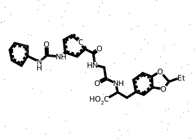 CCC1Oc2ccc(CC(NC(=O)CNC(=O)c3cccc(NC(=O)Nc4ccccc4)c3)C(=O)O)cc2O1